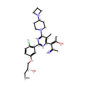 CNC[C@@H](O)COc1ccc(Cl)c(-c2nc(/C(C(C)=N)=C(\C)O)c(C)c(N3CCC(N4CCC4)CC3)n2)c1